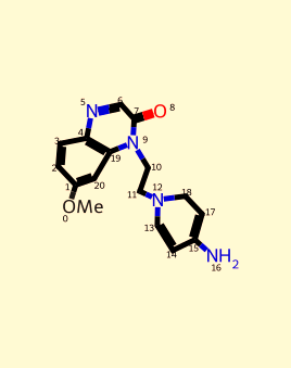 COc1ccc2ncc(=O)n(CCN3C=CC(N)=CC3)c2c1